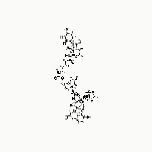 C#Cc1c(F)ccc2cc(O)cc(-c3ncc4c(N5CC6CCC(C5)N6)nc(OCC56CCC(COC(=O)N(C)CCCCC(=O)Nc7cccc8c7C(=O)N(C7CCC(=O)NC7=O)C8=O)N5CC(=C)C6)nc4c3F)c12